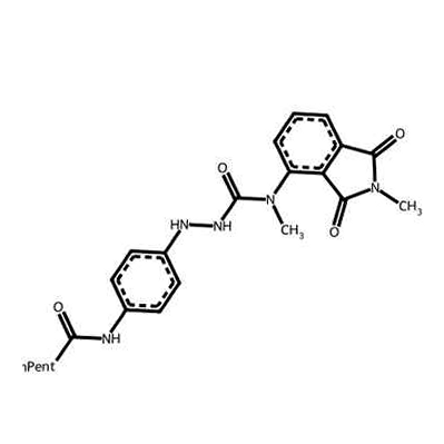 CCCCCC(=O)Nc1ccc(NNC(=O)N(C)c2cccc3c2C(=O)N(C)C3=O)cc1